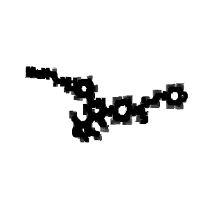 CNCCNCc1cccc(-c2nc(-c3c(C)noc3C)c(C)c(N3CCN(C(=S)SCCN4CCOCC4)CC3)n2)c1